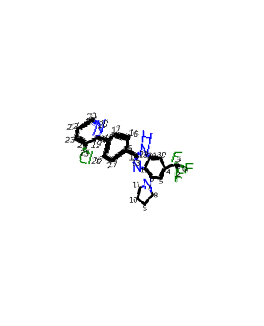 FC(F)(F)c1cc(N2CCCC2)c2nc(-c3ccc(-c4ncccc4Cl)cc3)[nH]c2c1